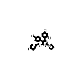 Fc1ccc(COc2nc(N3CCCC3)nc(-c3ccc(Cl)cc3Cl)c2-c2ccc(Cl)cc2)cc1F